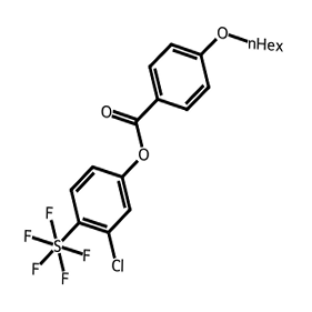 CCCCCCOc1ccc(C(=O)Oc2ccc(S(F)(F)(F)(F)F)c(Cl)c2)cc1